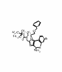 CCN(Cc1nc2c(N)nc3cc(Br)ccc3c2n1CCOCc1ccccc1)C(=O)OC(C)(C)C